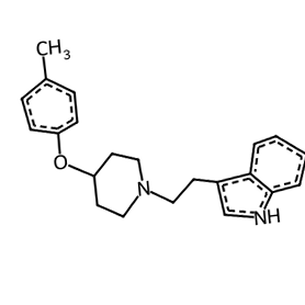 Cc1ccc(OC2CCN(CCc3c[nH]c4ccccc34)CC2)cc1